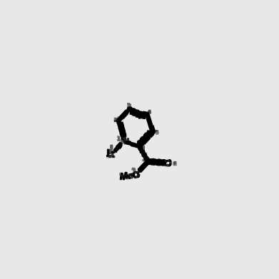 CC[n+]1ccccc1C(=O)OC